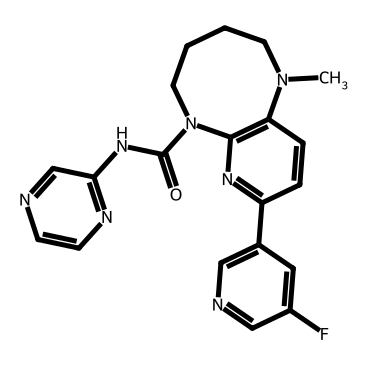 CN1CCCCN(C(=O)Nc2cnccn2)c2nc(-c3cncc(F)c3)ccc21